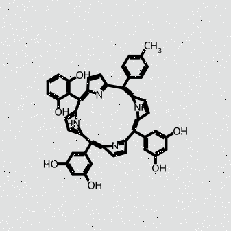 Cc1ccc(-c2c3nc(c(-c4c(O)cccc4O)c4ccc([nH]4)c(-c4cc(O)cc(O)c4)c4nc(c(-c5cc(O)cc(O)c5)c5ccc2[nH]5)C=C4)C=C3)cc1